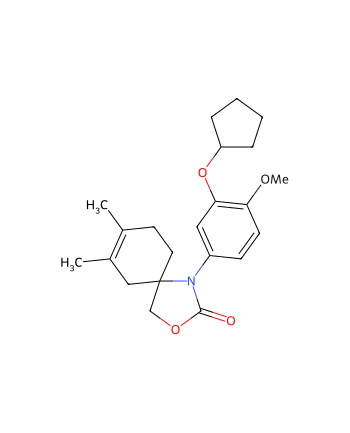 COc1ccc(N2C(=O)OCC23CCC(C)=C(C)C3)cc1OC1CCCC1